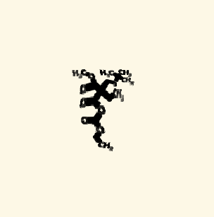 CCOC(=O)OC(=O)C(CC)(CSC(C)(C)C)C(=O)OC